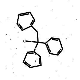 ClC(Cc1ccccc1)(c1ccccc1)c1ccccc1